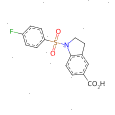 O=C(O)c1ccc2c(c1)CCN2S(=O)(=O)c1ccc(F)cc1